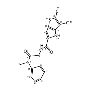 CN(C(=O)CNC(=O)c1cc2sc(Cl)c(Cl)c2[nH]1)c1ccccc1